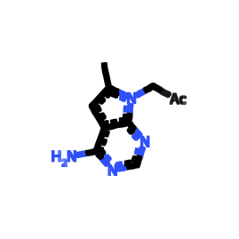 CC(=O)Cn1c(C)cc2c(N)ncnc21